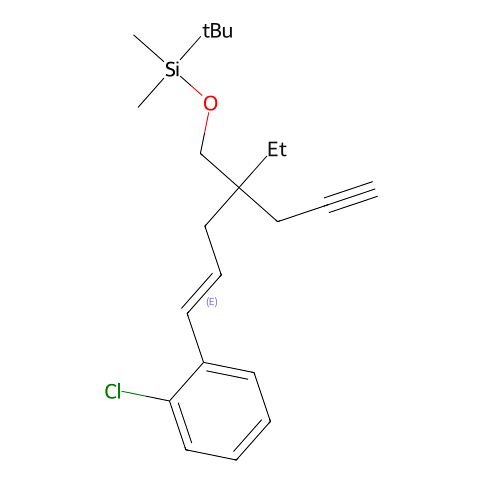 C#CCC(CC)(C/C=C/c1ccccc1Cl)CO[Si](C)(C)C(C)(C)C